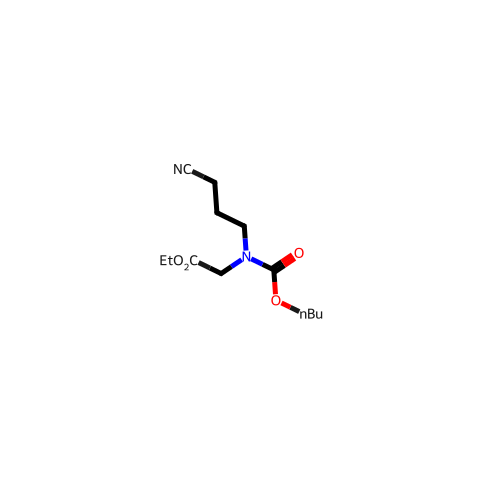 CCCCOC(=O)N(CCCC#N)CC(=O)OCC